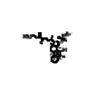 CC[C@H]1[C@@H](O)[C@@H]2[C@H](CC[C@]3(C)[C@@H]([C@H](C)CCC(=O)NCCS(=O)(=O)O)CC[C@@H]23)[C@@]2(C)CCCC[C@@H]12.O=S(=O)([O-])[O-].[Na+].[Na+]